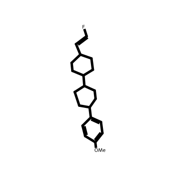 COc1ccc(C2CCC(C3CCC(C=CF)CC3)CC2)cc1